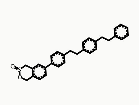 O=S1Cc2cc(-c3ccc(CCc4ccc(CCc5ccccc5)cc4)cc3)ccc2CO1